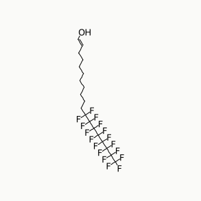 OC=CCCCCCCCCCC(F)(F)C(F)(F)C(F)(F)C(F)(F)C(F)(F)C(F)(F)C(F)(F)C(F)(F)F